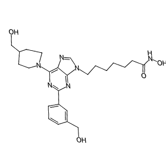 O=C(CCCCCCn1cnc2c(N3CCC(CO)CC3)nc(-c3cccc(CO)c3)nc21)NO